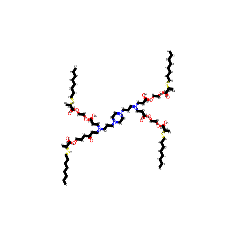 CCCCCCCCSC(C)C(=O)OCCCC(=O)CCN(CCCN1CCN(CCCN(CCC(=O)OCCOC(=O)C(C)SCCCCCCCC)CCC(=O)OCCOC(=O)C(C)SCCCCCCCC)CC1)CCC(=O)OCCOC(=O)C(C)SCCCCCCCC